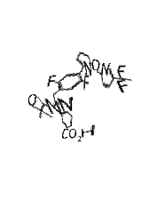 CC(F)(F)c1ccc(COc2cccc(-c3cc(F)c(Cc4nc5ccc(C(=O)O)cc5n4[C@@H]4COCC4(C)C)cc3F)n2)nc1